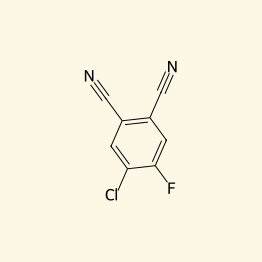 N#Cc1cc(F)c(Cl)cc1C#N